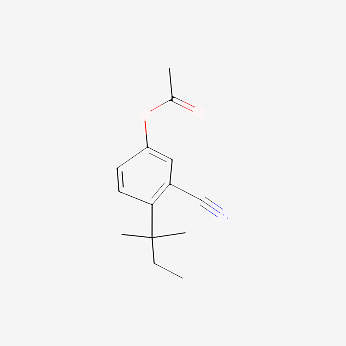 CCC(C)(C)c1ccc(OC(C)=O)cc1C#N